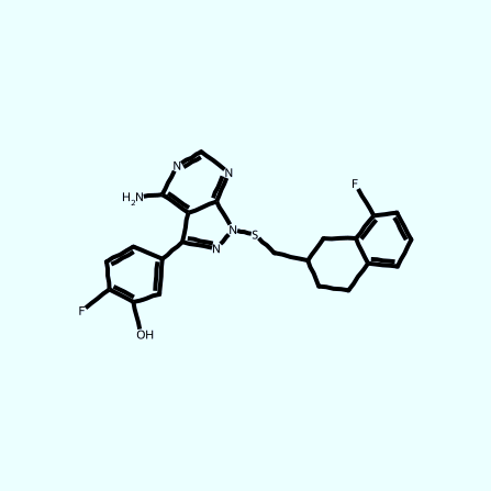 Nc1ncnc2c1c(-c1ccc(F)c(O)c1)nn2SCC1CCc2cccc(F)c2C1